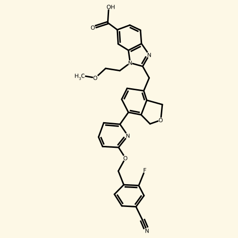 COCCn1c(Cc2ccc(-c3cccc(OCc4ccc(C#N)cc4F)n3)c3c2COC3)nc2ccc(C(=O)O)cc21